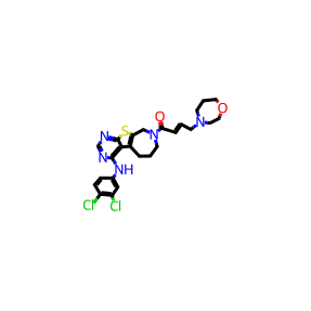 O=C(/C=C/CN1CCCOCC1)N1CCCc2c(sc3ncnc(Nc4ccc(Cl)c(Cl)c4)c23)C1